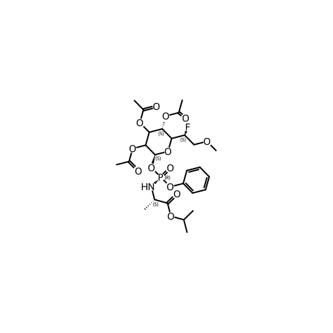 COC[C@H](F)C1O[C@@H](O[P@@](=O)(N[C@@H](C)C(=O)OC(C)C)Oc2ccccc2)C(OC(C)=O)C(OC(C)=O)[C@@H]1OC(C)=O